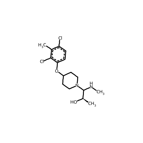 CNC([C@@H](C)O)N1CCC(Oc2ccc(Cl)c(C)c2Cl)CC1